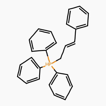 C(=Cc1ccccc1)C[PH](c1ccccc1)(c1ccccc1)c1ccccc1